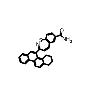 NC(=O)c1ccc2c(c1)C=CC(c1cc3ccccc3c3ccc4c(c13)CCCC4)=NS2